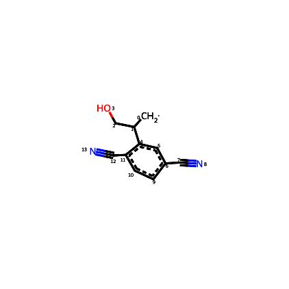 [CH2]C(CO)c1cc(C#N)ccc1C#N